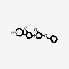 Cn1c2c(c3ccc(-n4ccc(OCc5ccccc5)cc4=O)cc31)CCNCC2